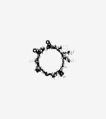 CCCC[C@H]1C(=O)N(C)[C@@H](CCSC)C(=O)N[C@@H](CCCNC(=N)N)C(=O)NC(C(=O)NCC(N)=O)CSCC(=O)N[C@@H](Cc2ccc(O)cc2)C(=O)N(C)[C@@H](C)C(=O)N[C@@H](CC(N)=O)C(=O)N2CCC[C@H]2C(=O)N[C@@H](Cc2cnc[nH]2)C(=O)N[C@@H](CO)C(=O)N2C[C@H](O)CC2C(=O)N[C@@H](Cc2c[nH]c3ccccc23)C(=O)N[C@@H](CO)C(=O)N[C@@H](Cc2csc3ccccc23)C(=O)N1C